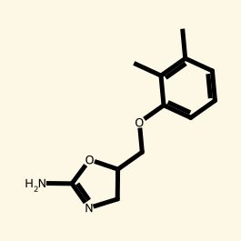 Cc1cccc(OCC2CN=C(N)O2)c1C